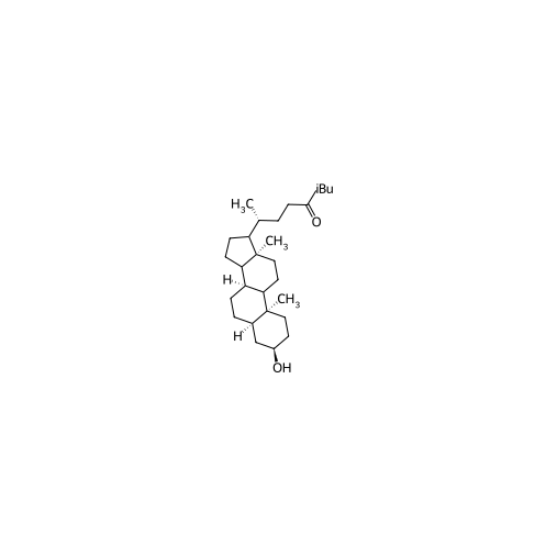 CCC(C)C(=O)CC[C@@H](C)C1CCC2[C@@H]3CC[C@@H]4C[C@H](O)CC[C@]4(C)C3CC[C@@]21C